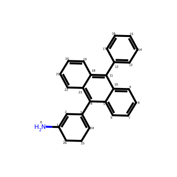 NC1=CC(c2c3ccccc3c(-c3ccccc3)c3ccccc23)=CC[CH]1